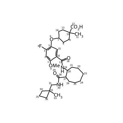 COc1cc(F)c(OC2CCC(C)(C(=O)O)CC2)cc1C(=O)NC1CCCCCCC1C(=O)NCC1(C)CCC1